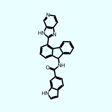 O=C(NC1c2ccccc2-c2c(-c3nc4ccncc4[nH]3)cccc21)c1ccc2cc[nH]c2c1